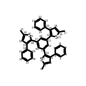 Cc1cc(-c2ccccc2)c(-c2cc(-c3sc(C)cc3-c3ccccc3)cc(-c3sc(C)cc3-c3ccccc3)c2)s1